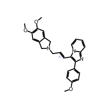 COc1ccc(-c2nc3ccccn3c2/C=C/CN2Cc3cc(OC)c(OC)cc3C2)cc1